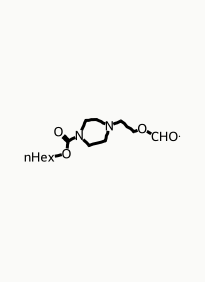 CCCCCCOC(=O)N1CCN(CCO[C]=O)CC1